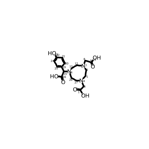 O=C(O)CN1CCN(CC(=O)O)CCN(C(C(=O)O)c2ccc(O)cc2)CC1